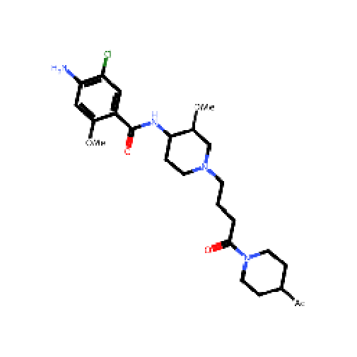 COc1cc(N)c(Cl)cc1C(=O)NC1CCN(CCCC(=O)N2CCC(C(C)=O)CC2)CC1OC